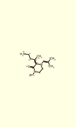 CC(C)=CN1CCN(C(C)C)C(=O)/C1=C(/C)CCN